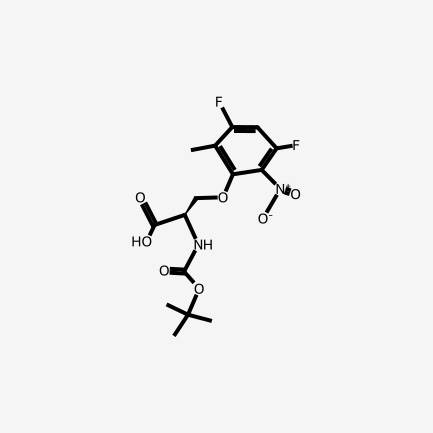 Cc1c(F)cc(F)c([N+](=O)[O-])c1OC[C@@H](NC(=O)OC(C)(C)C)C(=O)O